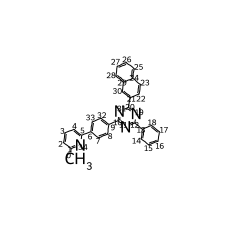 Cc1cccc(-c2ccc(-c3nc(-c4ccccc4)nc(-c4ccc5ccccc5c4)n3)cc2)n1